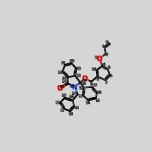 C=CCOc1cccc(COC2(c3ccccc3)c3ccccc3C(=O)N2Cc2ccccc2)c1